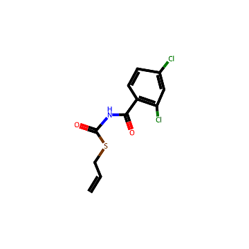 C=CCSC(=O)NC(=O)c1ccc(Cl)cc1Cl